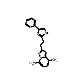 Cc1ccc(C)n2nc(CCc3nc(-c4ccccc4)c[nH]3)nc12